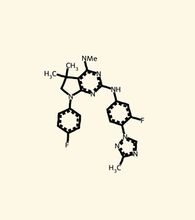 CNc1nc(Nc2ccc(-n3cnc(C)n3)c(F)c2)nc2c1C(C)(C)CN2c1ccc(F)cc1